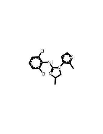 Cc1sccc1N1CC(C)N=C1Nc1c(Cl)cccc1Cl